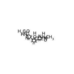 CC(=O)Nc1ccc(-c2cccc(-c3ccc(NC(C)=O)nc3)c2O)cn1